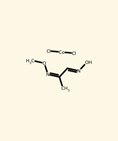 CON=C(C)C=NO.[Cl][Co][Cl]